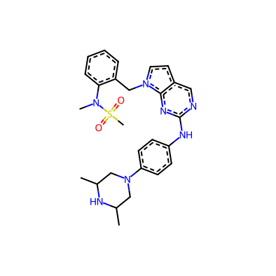 CC1CN(c2ccc(Nc3ncc4ccn(Cc5ccccc5N(C)S(C)(=O)=O)c4n3)cc2)CC(C)N1